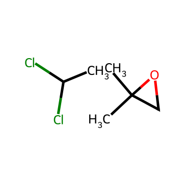 CC(Cl)Cl.CC1(C)CO1